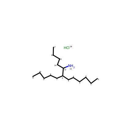 CCCCCCC(CCCCC)C(N)CCCC.Cl